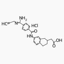 C#CCN=C(N)c1ccc(C(=O)Nc2ccc3c(c2)CC(CC(=O)O)CC3)cc1.Cl